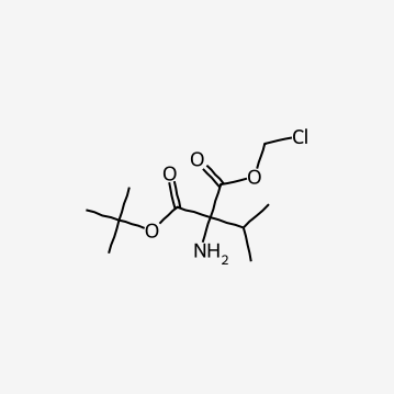 CC(C)C(N)(C(=O)OCCl)C(=O)OC(C)(C)C